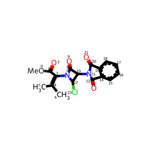 COC(=O)C(=C(C)C)N1C(=O)C(N2C(=O)c3ccccc3C2=O)C1Cl